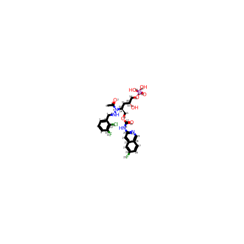 CC(=O)N(NCc1cccc(F)c1Cl)[C@H](COC(=O)Nc1cc2cc(F)ccc2cn1)C[C@@H](O)COP(=O)(O)O